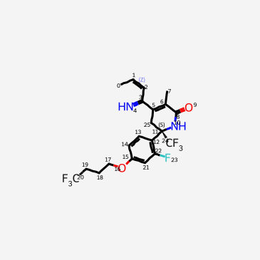 C/C=C\C(=N)C1=C(C)C(=O)N[C@@](c2ccc(OCCCC(F)(F)F)cc2F)(C(F)(F)F)C1